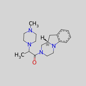 CC(C(=O)N1CCN2c3ccccc3C[C@H]2C1)N1CCN(C)CC1